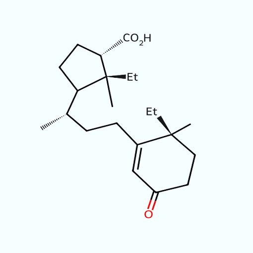 CC[C@@]1(C)CCC(=O)C=C1CC[C@H](C)C1CC[C@H](C(=O)O)[C@@]1(C)CC